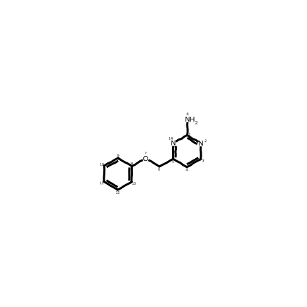 Nc1nccc(COc2[c]cccc2)n1